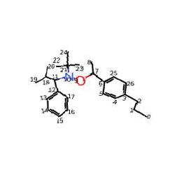 CCCc1ccc(C(C)ON(C(c2ccccc2)C(C)C)C(C)(C)C)cc1